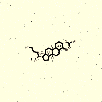 CCCC(=O)O[C@H]1CC[C@@]2(C)C(=CC[C@H]3[C@@H]4CC[C@H](C(C)CCCC(C)C)[C@@]4(C)CC[C@@H]32)C1Br